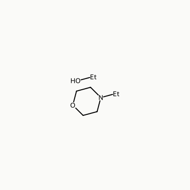 CCN1CCOCC1.CCO